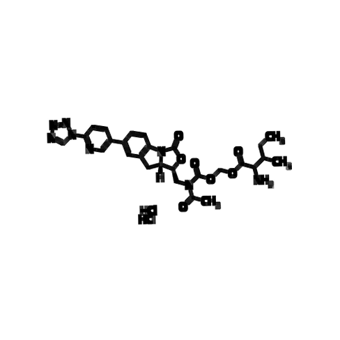 CCC(C)C(N)C(=O)OCOC(=O)N(C[C@@H]1OC(=O)N2c3ccc(-c4ccc(-n5cnnn5)nc4)cc3C[C@@H]12)C(C)=O.Cl.Cl